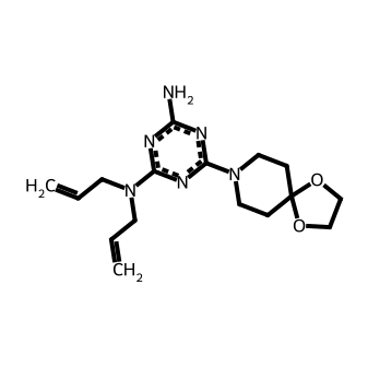 C=CCN(CC=C)c1nc(N)nc(N2CCC3(CC2)OCCO3)n1